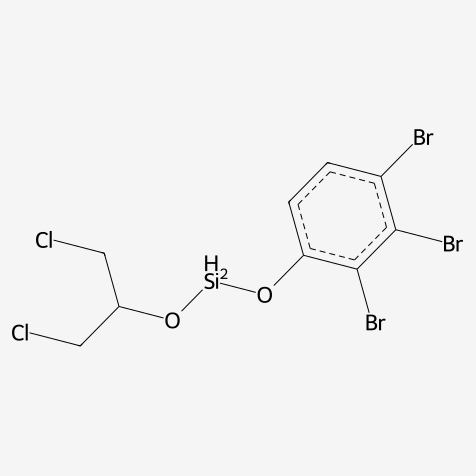 ClCC(CCl)O[SiH2]Oc1ccc(Br)c(Br)c1Br